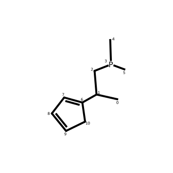 CC(CP(C)C)C1=CC=CC1